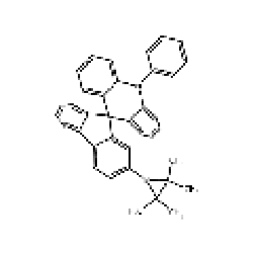 CC1(C)B(c2ccc3c(c2)C2(c4ccccc4N(c4ccccc4)c4ccccc42)c2cccnc2-3)C1(C)C